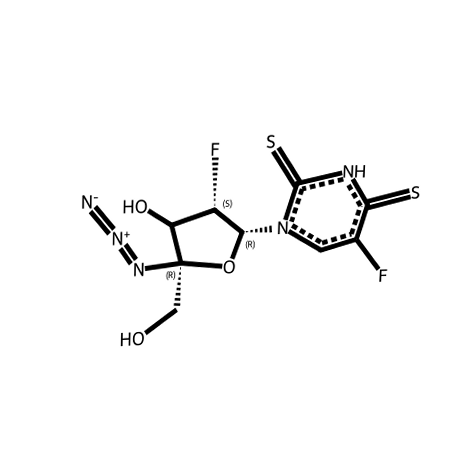 [N-]=[N+]=N[C@]1(CO)O[C@@H](n2cc(F)c(=S)[nH]c2=S)[C@@H](F)C1O